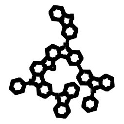 c1ccc(-n2c3ccccc3c3cc(-c4ccc5c(c4)c4c6oc7c(ccc8c7c7cc(-n9c%10ccccc%10c%10ccccc%109)ccc7n8-c7ccccc7)c6ccc4n5-c4ccc5sc6ccccc6c5c4)ccc32)cc1